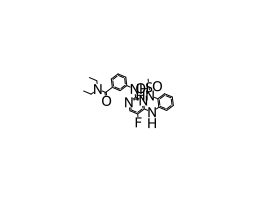 CCN(CC)C(=O)c1cccc(Nc2ncc(F)c(Nc3ccccc3NS(C)(=O)=O)n2)c1